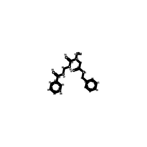 CC(C)(C)N(CC(=O)OCc1ccccc1)C(=O)OCOC(=O)c1cccnc1